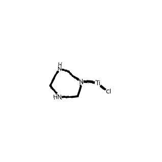 [Cl][Ti][N]1CNCNC1